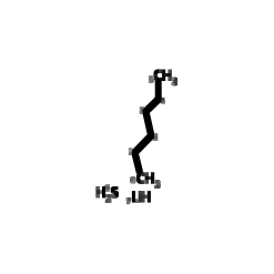 CCCCCC.S.[LiH]